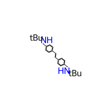 CC(C)(C)NCc1ccc(C=Cc2ccc(CNC(C)(C)C)cc2)cc1